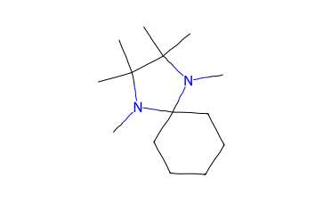 CN1C2(CCCCC2)N(C)C(C)(C)C1(C)C